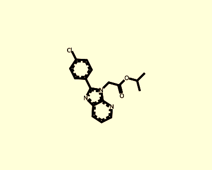 CC(C)OC(=O)Cn1c(-c2ccc(Cl)cc2)nc2cccnc21